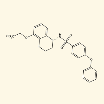 O=C(O)COc1cccc2c1CCC[C@H]2NS(=O)(=O)c1ccc(Oc2ccccc2)cc1